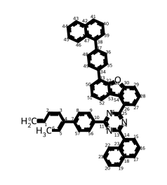 C=C/C=C\C(=C/C)c1ccc(-c2nc(-c3cccc4ccccc34)nc(-c3cccc4oc5c(-c6ccc(-c7cccc8ccccc78)cc6)cccc5c34)n2)cc1